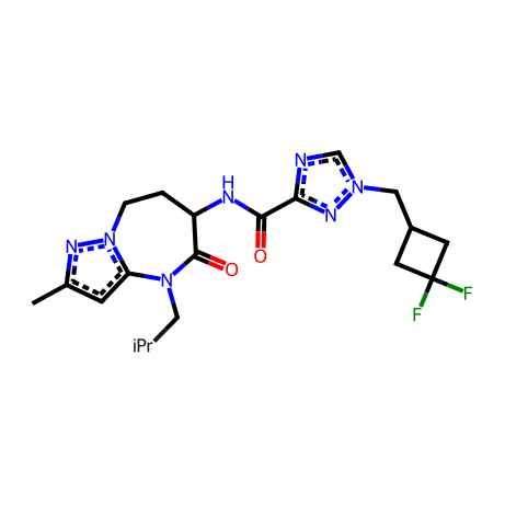 Cc1cc2n(n1)CCC(NC(=O)c1ncn(CC3CC(F)(F)C3)n1)C(=O)N2CC(C)C